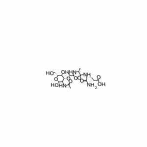 CC(=O)N[C@@H]1[C@@H](OC(C)C(=O)N[C@@H](C)C(=O)N[C@H](CCC(=O)O)C(N)=O)[C@H](O)[C@@H](CO)O[C@@H]1O